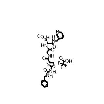 O=C(O)C(F)(F)F.O=C(O)C[C@H](NC(=O)CNC(=O)c1csc(NC(=O)NCc2ccccc2)n1)C(=O)NCc1cccnc1